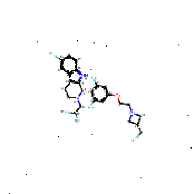 FCC1CN(CCOc2cc(F)c([C@H]3c4[nH]c5ccc(F)cc5c4CCN3CC(F)F)c(F)c2)C1